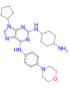 NC1CCC(Nc2nc(Nc3ccc(N4CCOCC4)cc3)c3ncn(C4CCCC4)c3n2)CC1